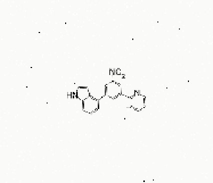 O=[N+]([O-])c1cc(-c2[c]cccn2)cc(-c2cccc3[nH]ccc23)c1